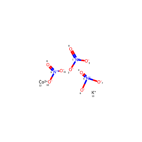 O=[N+]([O-])[O-].O=[N+]([O-])[O-].O=[N+]([O-])[O-].[Co+2].[K+]